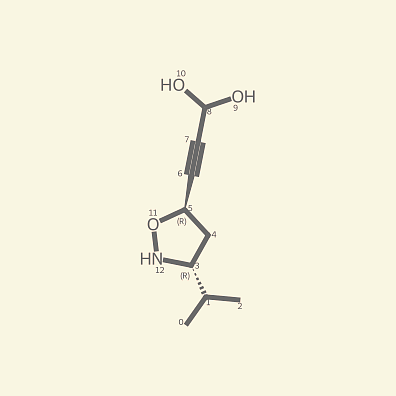 CC(C)[C@H]1C[C@H](C#CC(O)O)ON1